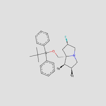 [2H][C@@H]1CN2C[C@H](F)C[C@]2(CO[Si](c2ccccc2)(c2ccccc2)C(C)(C)C)[C@@H]1[2H]